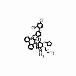 CCC[C@H](C(N)=O)[C@@H](CC1CCCC1)C(=O)NC1C(=O)N(Cc2cccc(-c3ccc(Cl)cc3Cl)c2)c2ccccc2-c2ccccc21